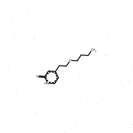 CCCCOCCc1cc[nH]c(=O)c1